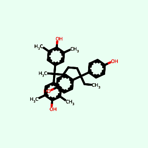 CCC(CCCC(C)(c1cc(C)c(O)c(C)c1)c1cc(C)c(O)c(C)c1)(c1ccc(O)cc1)c1ccc(O)cc1